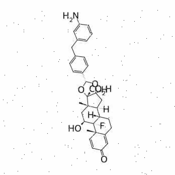 C[C@]12C=CC(=O)C=C1CC[C@H]1[C@@H]3C[C@H]4O[C@@H](c5ccc(Cc6cccc(N)c6)cc5)O[C@@]4(C(=O)O)[C@@]3(C)C[C@H](O)[C@@]12F